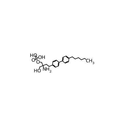 CCCCCCc1ccc(-c2ccc(CCC(N)(CO)COP(=O)(O)O)cc2)cc1